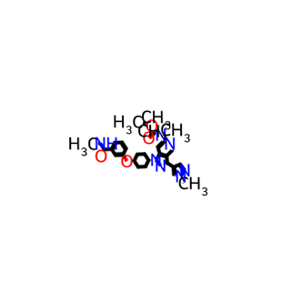 CNC(=O)c1cccc(O[C@H]2CC[C@@H](n3nc(-c4cnn(C)c4)c4cnc(N(C)C(=O)OC(C)(C)C)cc43)CC2)c1